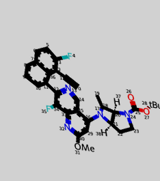 C#Cc1c(F)ccc2cccc(-c3ncc4c(N5C(C)[C@@H]6[C@H]5CCN6C(=O)OC(C)(C)C)cc(OC)nc4c3F)c12